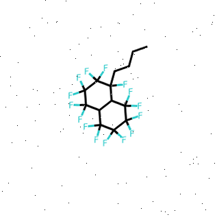 CCCCC1(F)C2C(C(F)(F)C(F)(F)C(F)(F)C2(F)F)C(F)(F)C(F)(F)C1(F)F